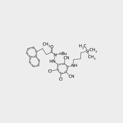 CCCCN(Nc1c(Cl)c(Cl)c(C#N)c(NCCC[Si](C)(C)C)c1C#N)C(=O)C[C@@H](C)c1cccc2ccccc12